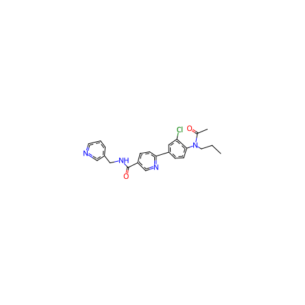 CCCN(C(C)=O)c1ccc(-c2ccc(C(=O)NCc3cccnc3)cn2)cc1Cl